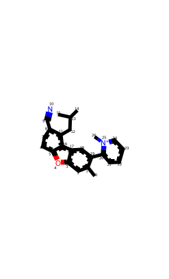 Cc1cc2oc3ccc(C#N)c(CC(C)C)c3c2cc1-c1cccc[n+]1C